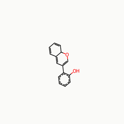 Oc1ccccc1C1=COC2C=CC=CC2=C1